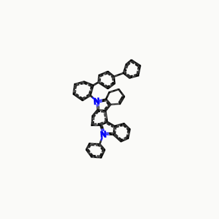 C1=Cc2c(n(-c3ccccc3-c3ccc(-c4ccccc4)cc3)c3ccc4c(c5ccccc5n4-c4ccccc4)c23)CC1